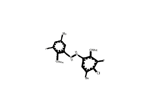 COc1c(F)cc(C(C)(C)C)cc1NNc1cc(C(C)(C)C)c(Cl)c(F)c1OC